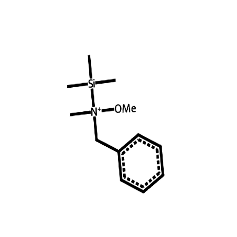 CO[N+](C)(Cc1ccccc1)[Si](C)(C)C